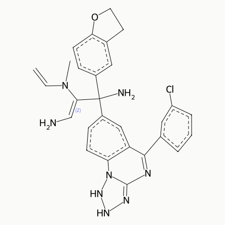 C=CN(C)/C(=C\N)C(N)(c1ccc2c(c1)CCO2)c1ccc2c(c1)C(c1cccc(Cl)c1)=NC1=NNNN12